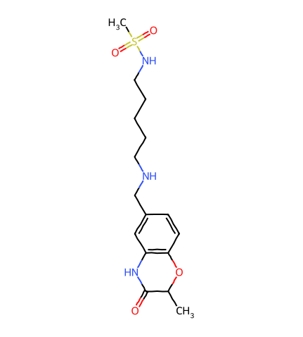 CC1Oc2ccc(CNCCCCCNS(C)(=O)=O)cc2NC1=O